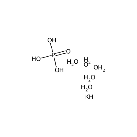 O.O.O.O.O.O=P(O)(O)O.[KH]